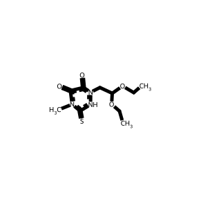 CCOC(Cn1[nH]c(=S)n(C)c(=O)c1=O)OCC